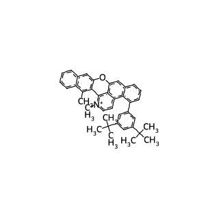 Cc1c2c(cc3ccccc13)Oc1cc3cccc(-c4cc(C(C)(C)C)cc(C(C)(C)C)c4)c3c3cc[n+](C)c-2c13